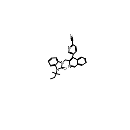 CCC(C)(C)n1c(=O)n(Cc2ncc3ccccc3c2-c2ccc(C#N)nc2)c2ccccc21